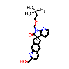 C[Si](C)(C)CCOCN1C(=O)[C@]2(Cc3cc4ccc(CO)nc4cc3C2)c2cccnc21